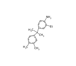 CCc1cc(C(C)(C)c2ccc(C)c(C)c2)ccc1N